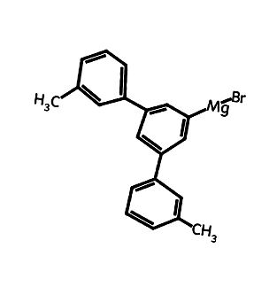 Cc1cccc(-c2c[c]([Mg][Br])cc(-c3cccc(C)c3)c2)c1